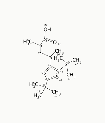 CC(CC(C)c1cc(C(C)(C)C)sc1C(C)(C)C)C(=O)O